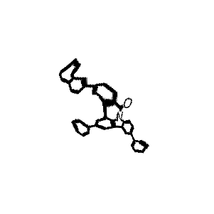 O=c1c2ccc(-c3ccc4ccccc4c3)cc2c2cc(-c3ccccc3)cc3c4cc(-c5ccccc5)ccc4n1c23